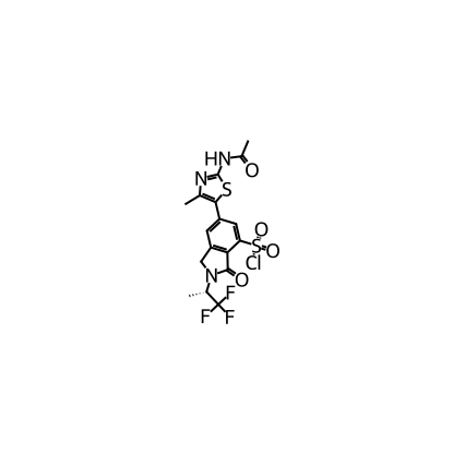 CC(=O)Nc1nc(C)c(-c2cc3c(c(S(=O)(=O)Cl)c2)C(=O)N([C@@H](C)C(F)(F)F)C3)s1